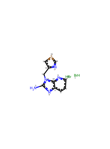 Br.Br.Nc1nc2cccnc2n1Cc1cscn1